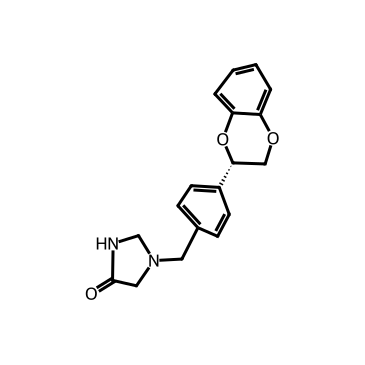 O=C1CN(Cc2ccc([C@H]3COc4ccccc4O3)cc2)CN1